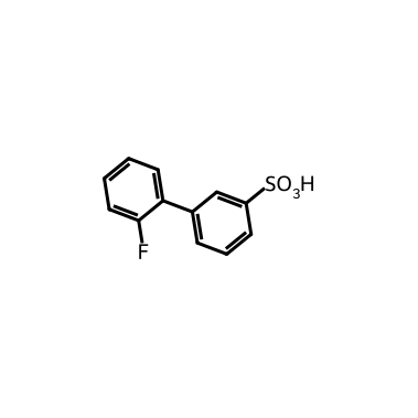 O=S(=O)(O)c1cccc(-c2ccccc2F)c1